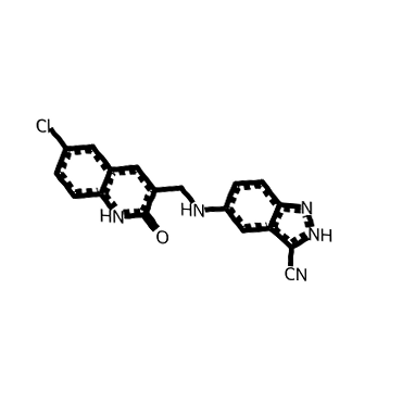 N#Cc1[nH]nc2ccc(NCc3cc4cc(Cl)ccc4[nH]c3=O)cc12